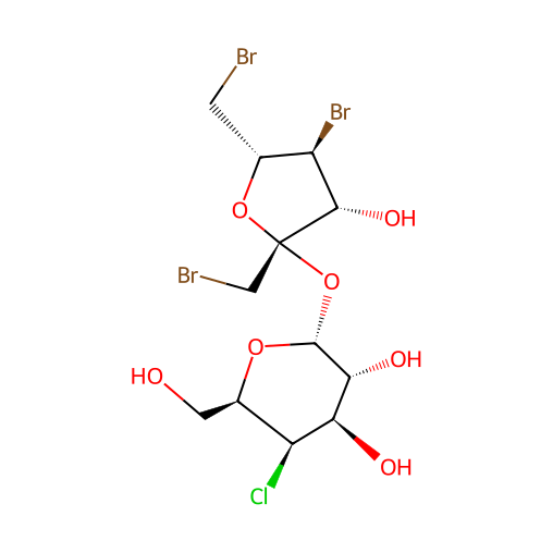 OC[C@H]1O[C@H](O[C@]2(CBr)O[C@H](CBr)[C@@H](Br)[C@@H]2O)[C@H](O)[C@@H](O)[C@H]1Cl